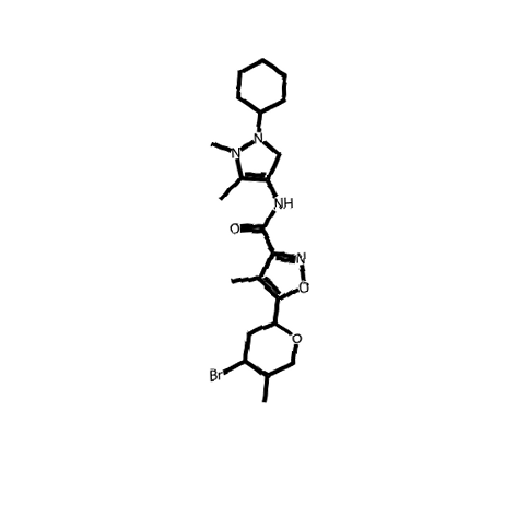 CC1=C(NC(=O)c2noc(C3CC(Br)C(C)CO3)c2C)CN(C2CCCCC2)N1C